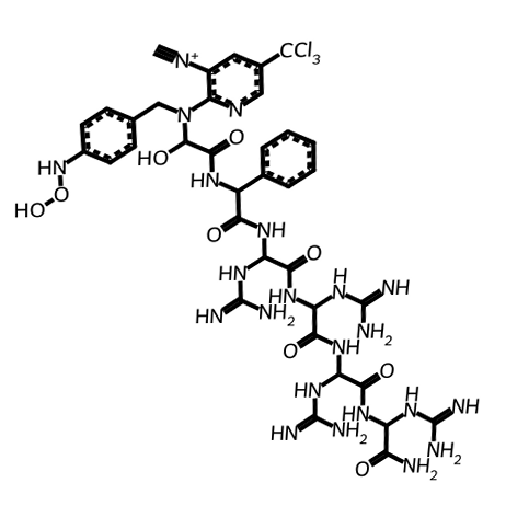 C#[N+]c1cc(C(Cl)(Cl)Cl)cnc1N(Cc1ccc(NOO)cc1)C(O)C(=O)NC(C(=O)NC(NC(=N)N)C(=O)NC(NC(=N)N)C(=O)NC(NC(=N)N)C(=O)NC(NC(=N)N)C(N)=O)c1ccccc1